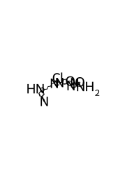 N#Cc1ccc2[nH]cc(CCCCN3CCN(c4ccc(Oc5nccc(C(N)=O)n5)cc4Cl)CC3)c2c1